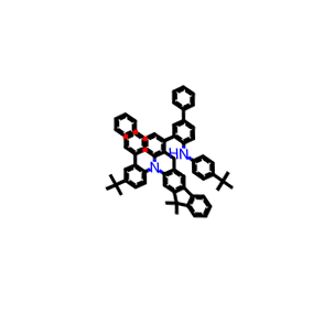 CC(C)(C)c1ccc(Nc2ccc(-c3ccccc3)cc2-c2cc(-c3ccccc3)cc3c2Cc2cc4c(cc2N3c2ccc(C(C)(C)C)cc2-c2ccccc2)C(C)(C)c2ccccc2-4)cc1